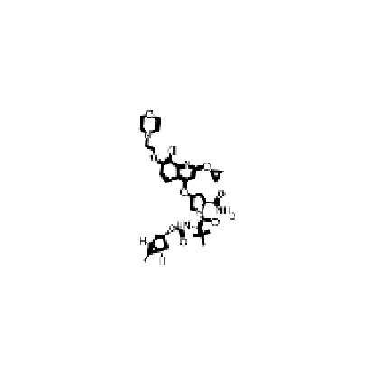 C[C@H]1[C@H]2C[C@@H](OC(=O)N[C@H](C(=O)N3CC(Oc4cc(OC5CC5)nc5c(Cl)c(OCCN6CCOCC6)ccc45)C[C@H]3C(N)=O)C(C)(C)C)C[C@@H]12